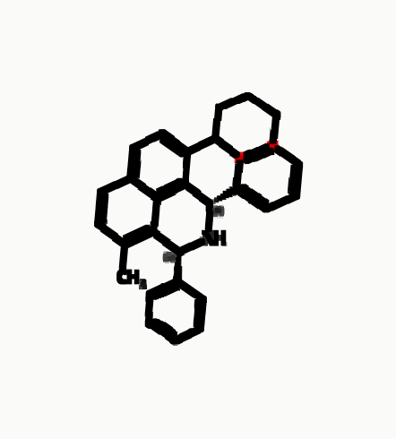 Cc1ccc2ccc(C3CCCCC3)c3c2c1[C@H](c1ccccc1)N[C@H]3c1ccccc1